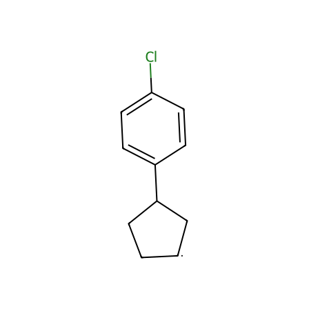 Clc1ccc(C2C[CH]CC2)cc1